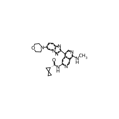 CNc1ncc(-c2nc3ccc(N4CCOCC4)cn3n2)c2cc(NC(=O)[C@H]3CC34CC4)ncc12